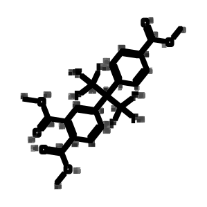 COC(=O)c1ccc(C(c2ccc(C(=O)OC)c(C(=O)OC)c2)(C(F)(F)F)C(F)(F)F)cc1